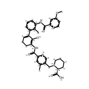 COc1ccnc(C(=O)Nc2cccc(C3=CCCC(NC(=O)c4cc(C)c(CN5CCCC[C@H]5C(=O)O)cn4)=C3Cl)c2C)c1